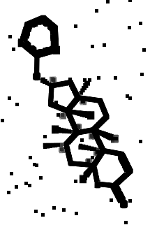 C[C@H]1C[C@H]2SC(=O)C=C[C@]2(C)[C@H]2CC[C@]3(C)C[C@@H](Oc4ncccn4)C[C@H]3[C@H]12